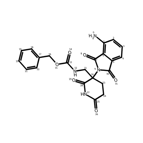 Nc1cccc2c1C(=O)N(C1(CNC(=O)OCc3ccccc3)CCC(=O)NC1=O)C2=O